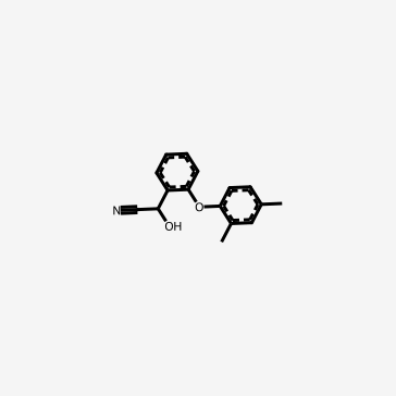 Cc1ccc(Oc2ccccc2C(O)C#N)c(C)c1